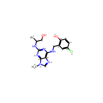 CC(C)C(CO)Nc1nc(NCc2cc(Cl)ccc2O)c2ncn(C)c2n1